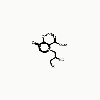 CCCCOc1c(C(=O)OC)n(CC(CN=O)N=O)ccc1=O